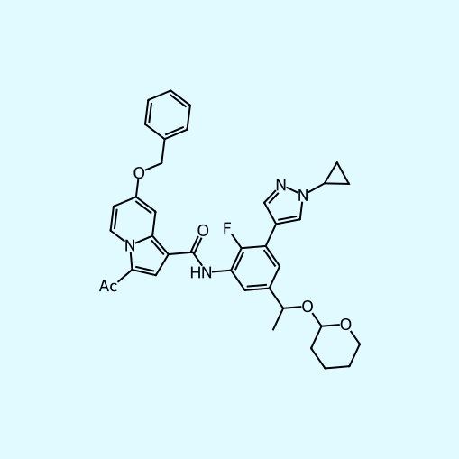 CC(=O)c1cc(C(=O)Nc2cc(C(C)OC3CCCCO3)cc(-c3cnn(C4CC4)c3)c2F)c2cc(OCc3ccccc3)ccn12